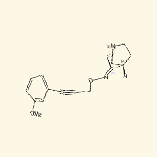 COc1cccc(C#CCO/N=C2\C[N@]3CC[C@H]2C3)c1